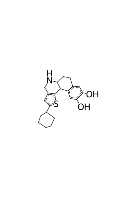 Oc1cc2c(cc1O)C1c3sc(C4CCCCC4)cc3CNC1CC2